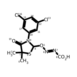 CC1(C)SC(ON=NC(=O)O)N(c2cc(Cl)cc(Cl)c2)C1=O